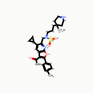 CNC(=O)c1c(-c2ccc(C)cc2)oc2nc(CN(CCCC3(C(=O)O)CCNCC3)[SH](=O)=O)c(C3CC3)cc12